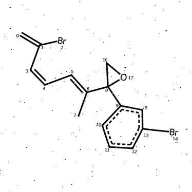 C=C(Br)/C=C\C=C(/C)C1(c2cccc(Br)c2)CO1